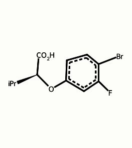 CC(C)[C@H](Oc1ccc(Br)c(F)c1)C(=O)O